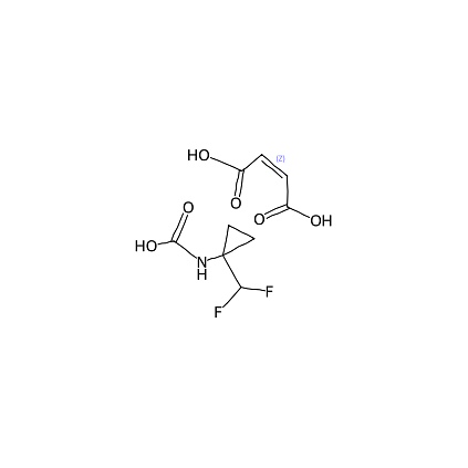 O=C(O)/C=C\C(=O)O.O=C(O)NC1(C(F)F)CC1